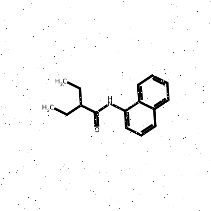 CCC(CC)C(=O)Nc1cccc2ccccc12